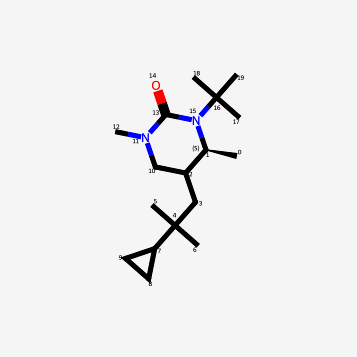 C[C@H]1C(CC(C)(C)C2CC2)CN(C)C(=O)N1C(C)(C)C